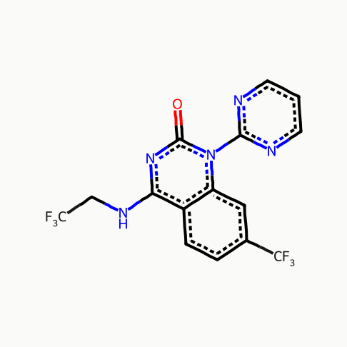 O=c1nc(NCC(F)(F)F)c2ccc(C(F)(F)F)cc2n1-c1ncccn1